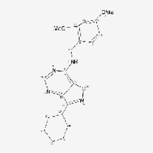 COc1ccc(CNc2ncnc3c(C4CCCCC4)noc23)c(OC)c1